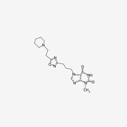 Cn1c(=O)[nH]c(=O)c2c1ncn2CCCc1noc(CCN2CCCCC2)n1